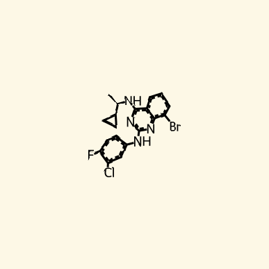 C[C@@H](Nc1nc(Nc2ccc(F)c(Cl)c2)nc2c(Br)cccc12)C1CC1